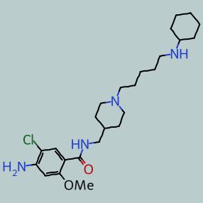 COc1cc(N)c(Cl)cc1C(=O)NCC1CCN(CCCCCNC2CCCCC2)CC1